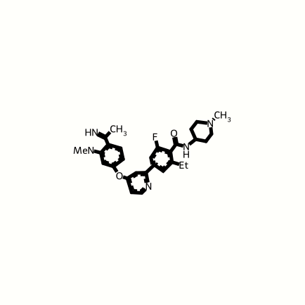 CCc1cc(-c2cc(Oc3ccc(C(C)=N)c(NC)c3)ccn2)cc(F)c1C(=O)NC1CCN(C)CC1